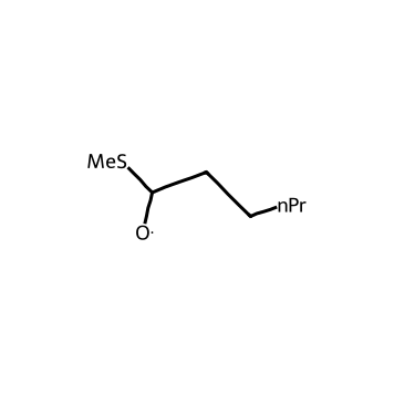 CCCCCC([O])SC